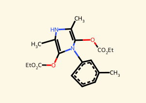 CCOC(=O)OC1=C(C)NC(C)=C(OC(=O)OCC)N1c1cccc(C)c1